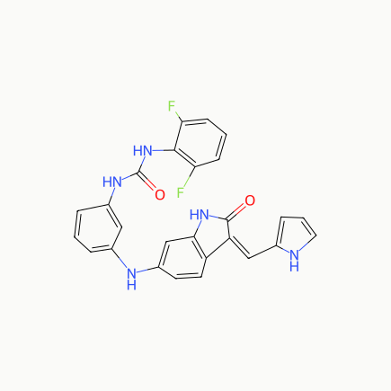 O=C(Nc1cccc(Nc2ccc3c(c2)NC(=O)C3=Cc2ccc[nH]2)c1)Nc1c(F)cccc1F